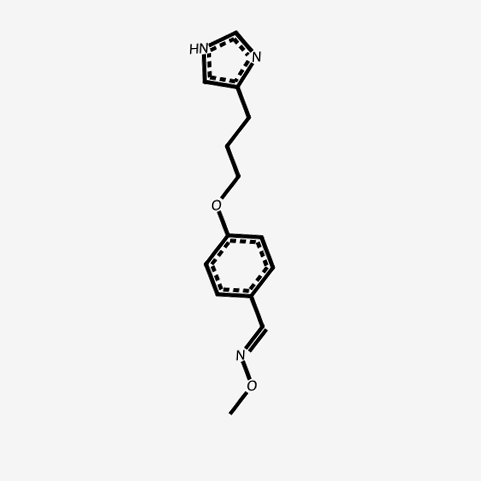 CON=Cc1ccc(OCCCc2c[nH]cn2)cc1